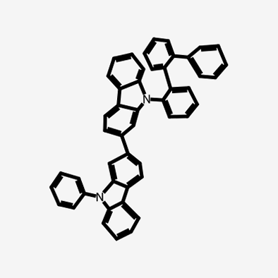 c1ccc(-c2ccccc2-c2ccccc2-n2c3ccccc3c3ccc(-c4ccc5c6ccccc6n(-c6ccccc6)c5c4)cc32)cc1